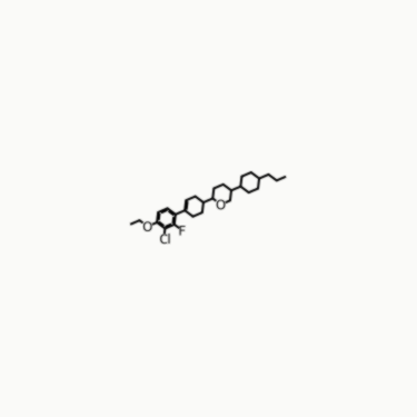 CCCC1CCC(C2CCC(C3CC=C(c4ccc(OCC)c(Cl)c4F)CC3)OC2)CC1